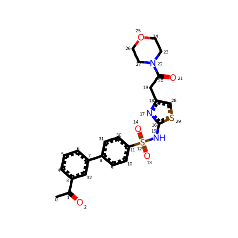 CC(=O)c1cccc(-c2ccc(S(=O)(=O)Nc3nc(CC(=O)N4CCOCC4)cs3)cc2)c1